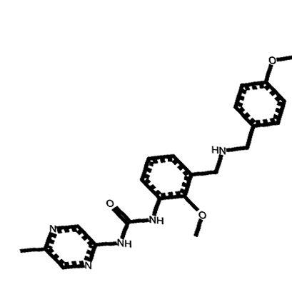 COc1ccc(CNCc2cccc(NC(=O)Nc3cnc(C)cn3)c2OC)cc1